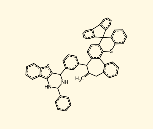 C=C1Cc2ccccc2-c2c(ccc3c2Sc2ccccc2C32c3ccccc3-c3ccccc32)C1c1cccc(C2NC(c3ccccc3)Nc3c2sc2ccccc32)c1